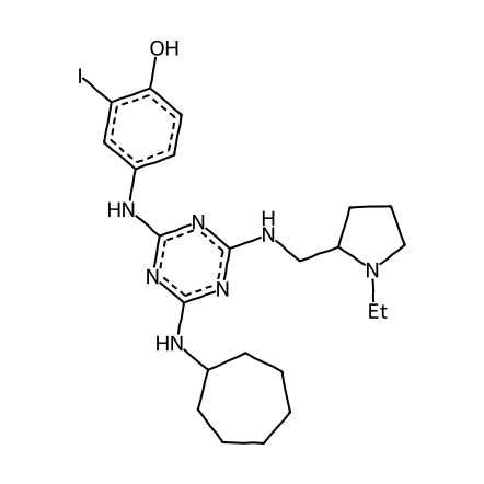 CCN1CCCC1CNc1nc(Nc2ccc(O)c(I)c2)nc(NC2CCCCCC2)n1